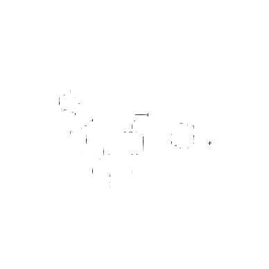 Cc1cc2c(cnn2-c2ccc(F)cc2)cc1C12CC(=O)CC1CN(S(=O)(=O)c1cnn(C)c1)C2